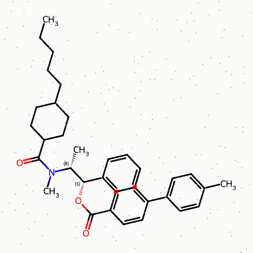 CCCCCC1CCC(C(=O)N(C)[C@H](C)[C@@H](OC(=O)c2ccc(-c3ccc(C)cc3)cc2)c2ccccc2)CC1